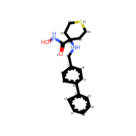 O=C(NO)C1(NCc2ccc(-c3ccccc3)cc2)CCSCC1